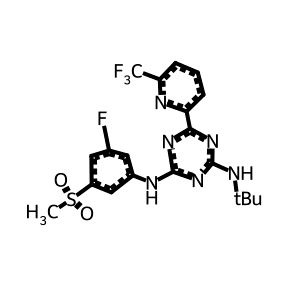 CC(C)(C)Nc1nc(Nc2cc(F)cc(S(C)(=O)=O)c2)nc(-c2cccc(C(F)(F)F)n2)n1